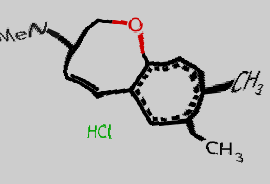 CNC1C=Cc2cc(C)c(C)cc2OC1.Cl